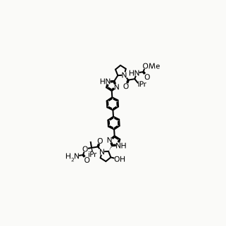 COC(=O)NC(C(=O)N1CCCC1c1nc(-c2ccc(-c3ccc(-c4c[nH]c([C@@H]5C(O)CCN5C(=O)[C@@](C)(OC(N)=O)C(C)C)n4)cc3)cc2)c[nH]1)C(C)C